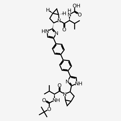 CC(C)[C@H](NC(=O)OC(C)(C)C)C(=O)N1C(c2nc(-c3ccc(-c4ccc(-c5c[nH]c([C@@H]6C[C@@H]7C[C@H]7N6C(=O)[C@@H](NC(=O)O)C(C)C)n5)cc4)cc3)c[nH]2)CC2CC21